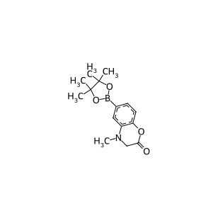 CN1CC(=O)Oc2ccc(B3OC(C)(C)C(C)(C)O3)cc21